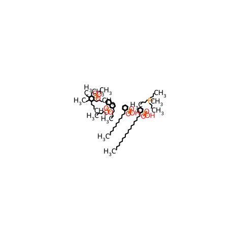 CCCCCCCCCCCCCCCCCCc1ccccc1S(=O)(=O)O.CCCCCCCCCCCCc1ccccc1S(=O)(=O)O.CCCCOS(=O)(=O)c1c(CCCC)ccc2ccccc12.CCCC[P+](C)(CCCC)CCCC.CCCCc1c(CC)c(CC)c(CC)c(S(=O)(=O)OCC)c1CCCC